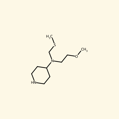 COCCN(CSC)C1CCNCC1